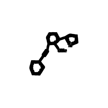 COc1c(C#Cc2ccccc2)cccc1-c1ccc[te]1